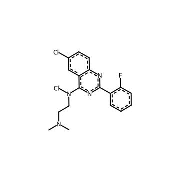 CN(C)CCN(Cl)c1nc(-c2ccccc2F)nc2ccc(Cl)cc12